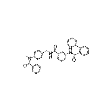 CN(C(=O)c1ccccc1)c1ccc(CNC(=O)c2cccc(NC(=O)c3ccccc3-c3ccccc3)c2)cc1